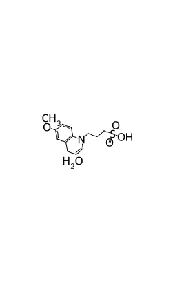 COc1ccc2c(c1)CC=CN2CCCS(=O)(=O)O.O